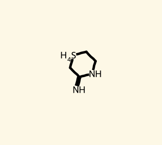 N=C1C[SH4]CCN1